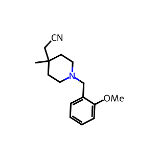 COc1ccccc1CN1CCC(C)(CC#N)CC1